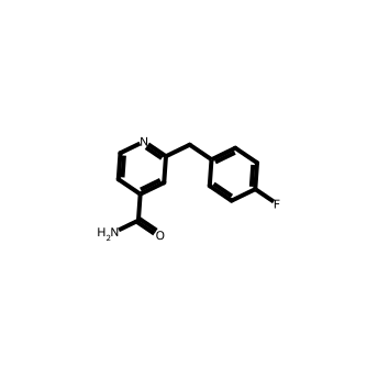 NC(=O)c1ccnc(Cc2ccc(F)cc2)c1